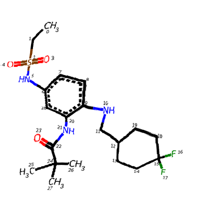 CCS(=O)(=O)Nc1ccc(NCC2CCC(F)(F)CC2)c(NC(=O)C(C)(C)C)c1